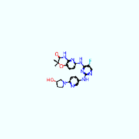 CC1(C)Oc2ccc(Nc3nc(Nc4ccc(N5CC[C@@H](O)C5)nc4)ncc3F)nc2NC1=O